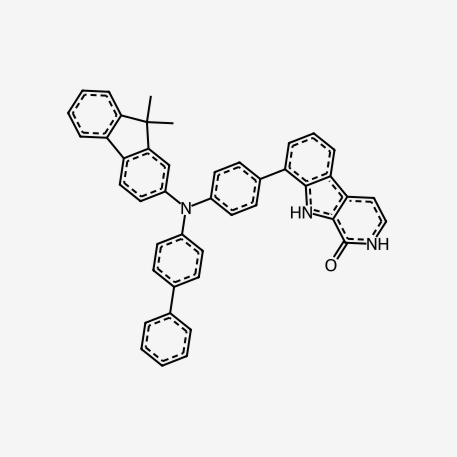 CC1(C)c2ccccc2-c2ccc(N(c3ccc(-c4ccccc4)cc3)c3ccc(-c4cccc5c4[nH]c4c(=O)[nH]ccc45)cc3)cc21